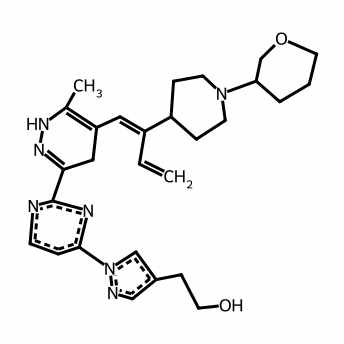 C=C/C(=C\C1=C(C)NN=C(c2nccc(-n3cc(CCO)cn3)n2)C1)C1CCN(C2CCCOC2)CC1